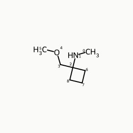 CNC1(COC)CCC1